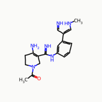 CN/C=C(\C=N)c1cccc(NC(=N)C2=C(N)CCN(C(C)=O)C2)c1